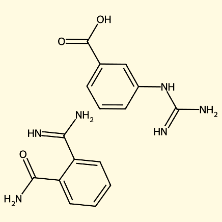 N=C(N)Nc1cccc(C(=O)O)c1.N=C(N)c1ccccc1C(N)=O